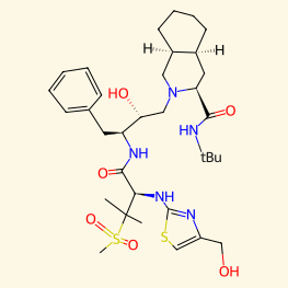 CC(C)(C)NC(=O)[C@@H]1C[C@@H]2CCCC[C@@H]2CN1C[C@@H](O)[C@H](Cc1ccccc1)NC(=O)[C@@H](Nc1nc(CO)cs1)C(C)(C)S(C)(=O)=O